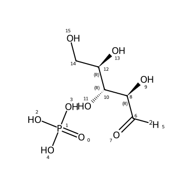 O=P(O)(O)O.[2H]C(=O)[C@H](O)[C@H](O)[C@H](O)CO